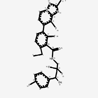 CCc1ccc(-c2ccn3nc(N)nc3c2F)c(F)c1C(=O)NCC(F)(F)C(O)c1ccc(F)cc1